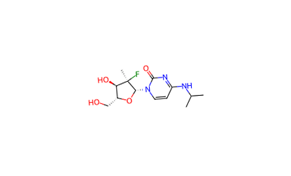 CC(C)Nc1ccn([C@@H]2O[C@H](CO)[C@@H](O)[C@@]2(C)F)c(=O)n1